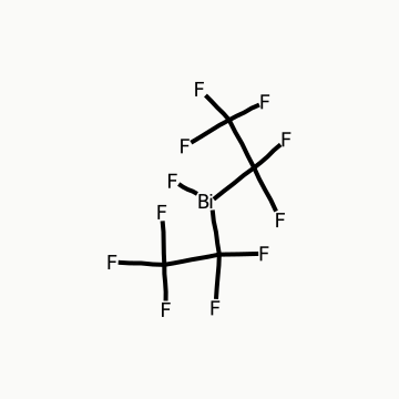 [F][Bi]([C](F)(F)C(F)(F)F)[C](F)(F)C(F)(F)F